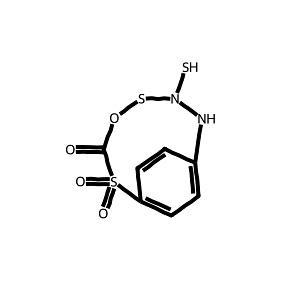 O=C1OSN(S)Nc2ccc(cc2)S1(=O)=O